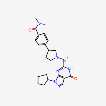 C[C@H](c1nc2c(cnn2C2CCCC2)c(=O)[nH]1)N1CCC(c2ccc(C(=O)N(C)C)cc2)C1